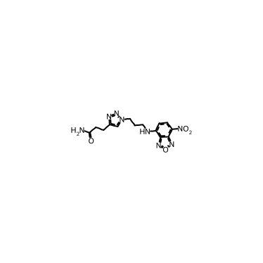 NC(=O)CCc1cn(CCCNc2ccc([N+](=O)[O-])c3nonc23)nn1